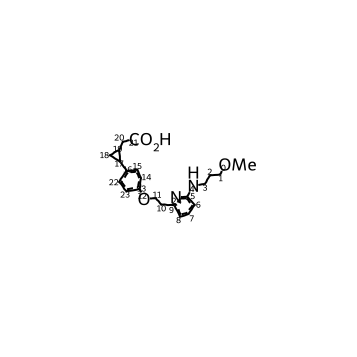 COCCCNc1cccc(CCOc2ccc(C3CC3CC(=O)O)cc2)n1